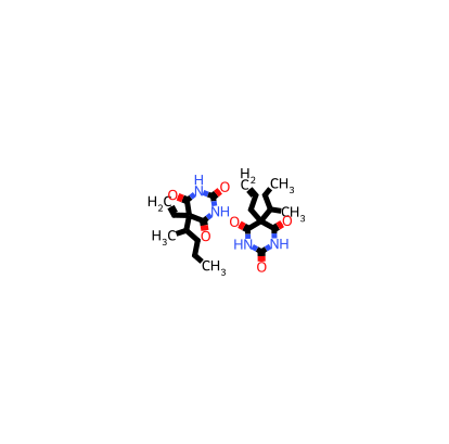 C=CC1(C(C)CCC)C(=O)NC(=O)NC1=O.C=CCC1(C(C)CC)C(=O)NC(=O)NC1=O